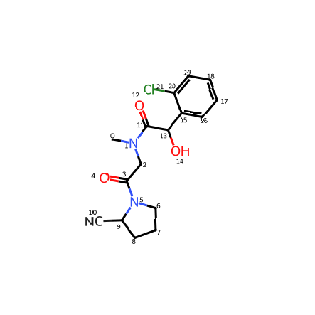 CN(CC(=O)N1CCCC1C#N)C(=O)C(O)c1ccccc1Cl